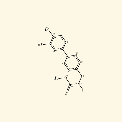 CN(Cc1ccc(-c2ccc(C#N)c(F)c2)nc1)C(=O)OC(C)(C)C